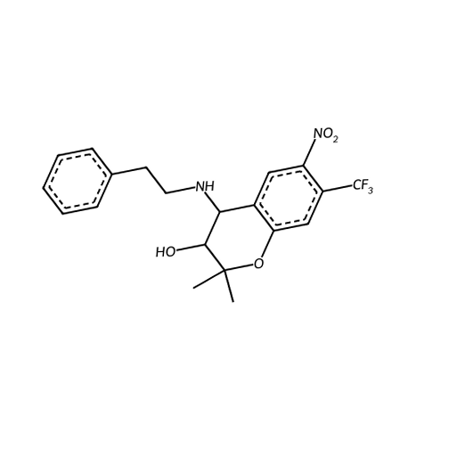 CC1(C)Oc2cc(C(F)(F)F)c([N+](=O)[O-])cc2C(NCCc2ccccc2)C1O